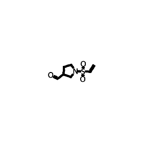 C=CS(=O)(=O)N1CCC(C=O)C1